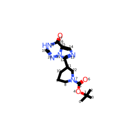 CC(C)(C)OC(=O)N1CCCC(c2ncc3c(=O)[nH]cnn23)C1